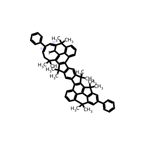 CC1(C)C/C=C(c2ccccc2)\C=C2/C(I)c3c1c1c(c4cccc(c34)C2(C)C)-c2cc3c(cc2C1(C)C)-c1c(c2c4c5c(cccc15)C(C)(C)c1cc(-c5ccccc5)cc(c1-4)C2(C)C)C3(C)C